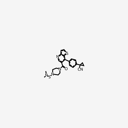 CN(C)SN1CCN(C(=O)c2cnc3ccsc3c2-c2ccc(C3(C#N)CC3)cc2)CC1